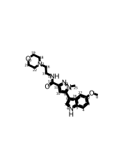 COc1ccc2[nH]cc(-c3cc(C(=O)NCCN4CCOCC4)nn3C)c2c1